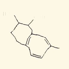 CC(C)(C)c1ccc2c(c1)C(C(=O)O)C(C(=O)O)CC2